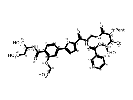 CCCCC[C@@H](C(=O)NCNC(=O)c1ccc(-c2ccc(C(=O)N[C@@H](CC(=O)O)C(=O)O)c(OCC(=O)O)c2)o1)[C@@H](CC)N(C=O)OC(=O)c1cccnc1